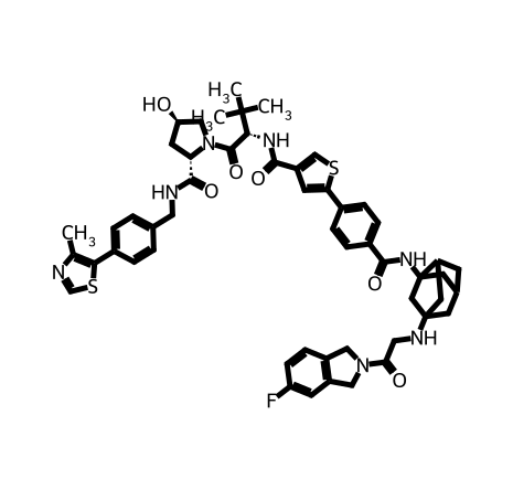 Cc1ncsc1-c1ccc(CNC(=O)[C@@H]2C[C@@H](O)CN2C(=O)[C@@H](NC(=O)c2csc(-c3ccc(C(=O)NC45CC6CC4CC(NCC(=O)N4Cc7ccc(F)cc7C4)(C6)C5)cc3)c2)C(C)(C)C)cc1